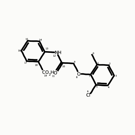 Cc1cccc(Cl)c1OCC(=O)Nc1ccccc1C(=O)O